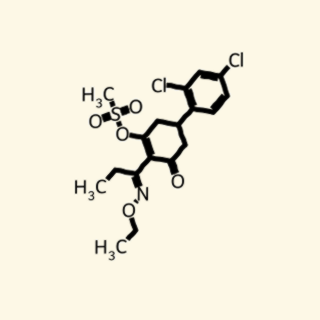 CCON=C(CC)C1=C(OS(C)(=O)=O)CC(c2ccc(Cl)cc2Cl)CC1=O